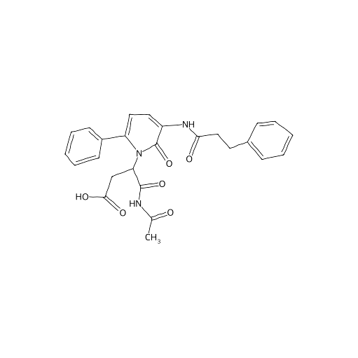 CC(=O)NC(=O)C(CC(=O)O)n1c(-c2ccccc2)ccc(NC(=O)CCc2ccccc2)c1=O